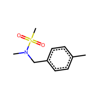 Cc1ccc(CN(C)S(C)(=O)=O)cc1